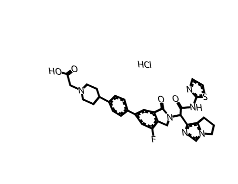 Cl.O=C(O)CN1CCC(c2ccc(-c3cc(F)c4c(c3)C(=O)N(C(C(=O)Nc3nccs3)c3ncn5c3CCC5)C4)cc2)CC1